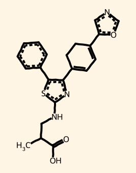 CC(CNc1nc(C2=CC=C(c3cnco3)CC2)c(-c2ccccc2)s1)C(=O)O